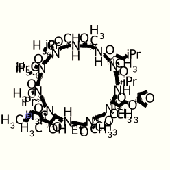 C/C=C/C[C@@H](C)[C@@H](O)C1C(=O)N[C@@H](CC)C(=O)N(C)[C@H](C)C(=O)N(C)[C@@H]([C@H](C)CO[C@H]2CCOC2)C(=O)N[C@@H](C(C)C)C(=O)N(C)[C@@H](CCC(C)C)C(=O)N[C@@H](C)C(=O)N[C@H](C)C(=O)N(C)[C@@H](CC(C)C)C(=O)N(C)[C@@H](CC(C)C)C(=O)N(C)[C@@H](C(C)C)C(=O)N1C